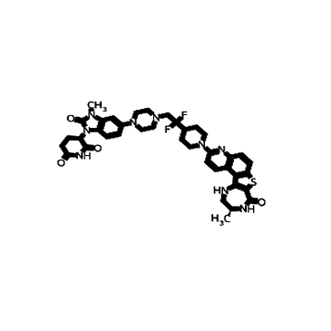 C[C@@H]1CNc2c(sc3ccc4nc(N5CCC(C(F)(F)CN6CCN(c7ccc8c(c7)n(C)c(=O)n8C7CCC(=O)NC7=O)CC6)CC5)ccc4c23)C(=O)N1